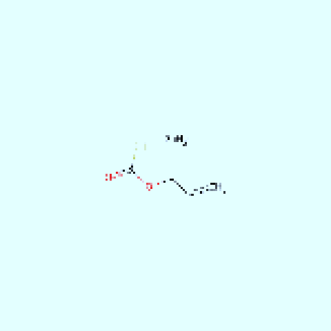 C=CCOC(=O)S.[SnH2]